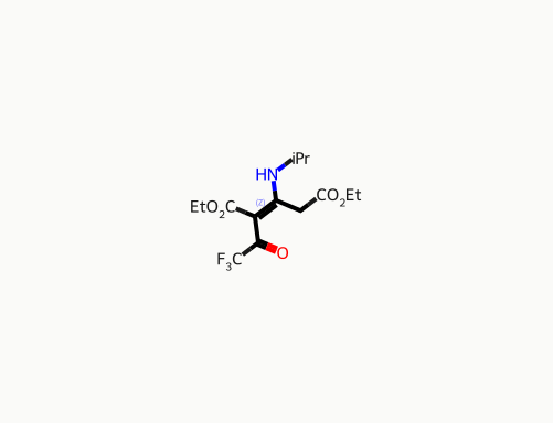 CCOC(=O)C/C(NC(C)C)=C(/C(=O)OCC)C(=O)C(F)(F)F